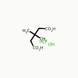 CC(C)(CC(=O)O)CC(=O)O.Cl.Cl